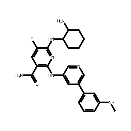 CNc1cccc(-c2cncc(Nc3nc(NC4CCCCC4N)c(F)cc3C(N)=O)c2)c1